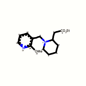 CCOC(=O)CC1CCCCN1Cc1cccnc1OC